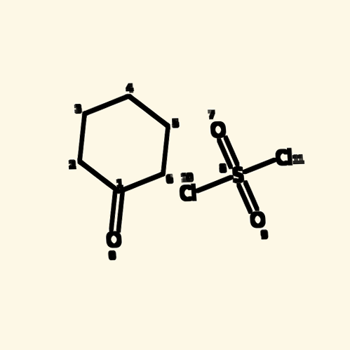 O=C1CCCCC1.O=S(=O)(Cl)Cl